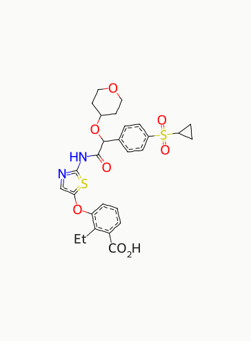 CCc1c(Oc2cnc(NC(=O)C(OC3CCOCC3)c3ccc(S(=O)(=O)C4CC4)cc3)s2)cccc1C(=O)O